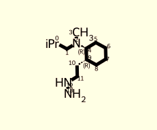 CC(C)CN(C)[C@@H]1CCCC[C@@H]1CCNN